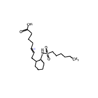 CCCCCCS(=O)(=O)NC1CCCCC1C/C=C/CCCC(=O)O